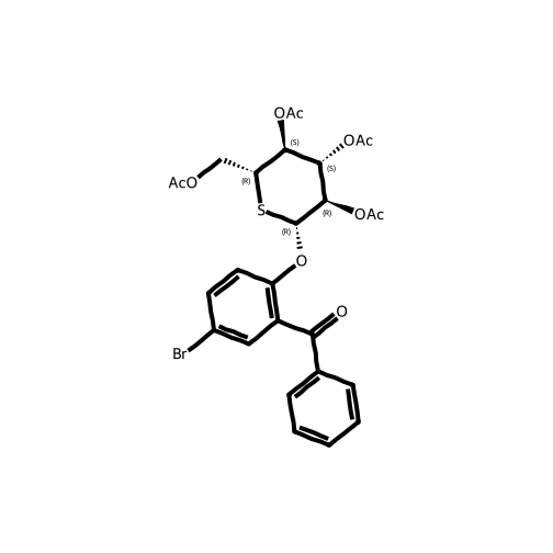 CC(=O)OC[C@H]1S[C@@H](Oc2ccc(Br)cc2C(=O)c2ccccc2)[C@H](OC(C)=O)[C@@H](OC(C)=O)[C@@H]1OC(C)=O